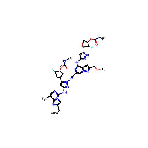 COCc1cn2c(Nc3cc([C@H]4C[C@@H](F)[C@@H](OC(=O)NC(C)C)C4)n([N+]#Cc4cn5nc(COC(F)(F)F)cc5c(Nc5cc([C@H]6OC[C@@H](OC(=O)NC(C)C)[C@@H]6F)[nH]n5)n4)n3)ncc(C(F)(F)F)c2n1